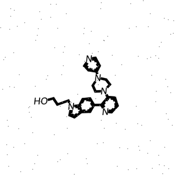 OCCCn1ccc2cc(-c3ncccc3N3CCN(c4ccncc4)CC3)ccc21